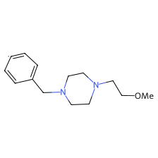 COCCN1CCN(Cc2cc[c]cc2)CC1